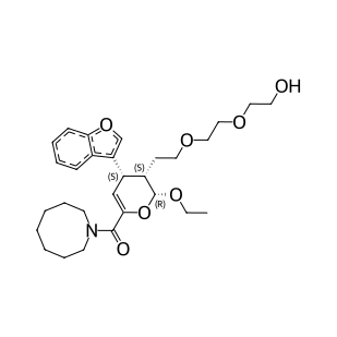 CCO[C@@H]1OC(C(=O)N2CCCCCCC2)=C[C@H](c2coc3ccccc23)[C@@H]1CCOCCOCCO